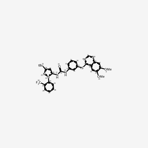 COc1cc2ncnc(Sc3cccc(NC(=O)Nc4cc(C(C)(C)C)nn4-c4ccccc4C(F)(F)F)c3)c2cc1OC